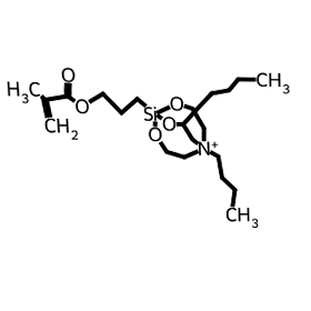 C=C(C)C(=O)OCCC[Si]12OCC[N+](CCCC)(CCO1)CC(CCCC)O2